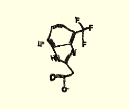 O=C([O-])Cc1nc2c(C(F)(F)F)cccc2[nH]1.[Li+]